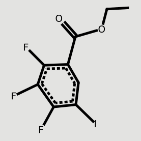 CCOC(=O)c1cc(I)c(F)c(F)c1F